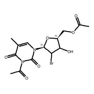 CC(=O)OC[C@@H]1O[C@H](n2cc(C)c(=O)n(C(C)=O)c2=O)C(Br)C1O